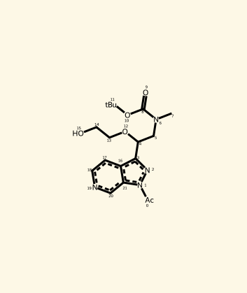 CC(=O)n1nc(C(CN(C)C(=O)OC(C)(C)C)OCCO)c2ccncc21